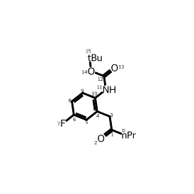 CCCC(=O)Cc1cc(F)ccc1NC(=O)OC(C)(C)C